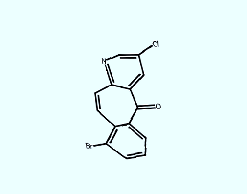 O=c1c2cc(Cl)cnc2ccc2c(Br)cccc12